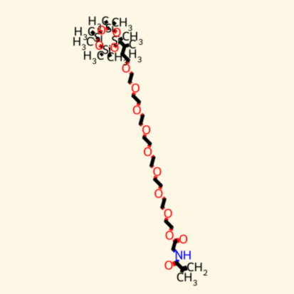 C=C(C)C(=O)NCC(=O)OCCOCCOCCOCCOCCOCCOCCOCCOCCC(C)[Si]1(C)O[Si](C)(C)O[Si](C)(C)O[Si](C)(C)O1